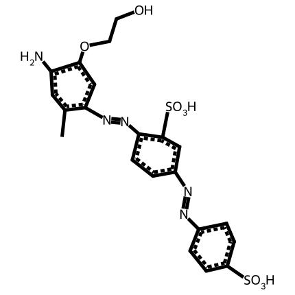 Cc1cc(N)c(OCCO)cc1N=Nc1ccc(N=Nc2ccc(S(=O)(=O)O)cc2)cc1S(=O)(=O)O